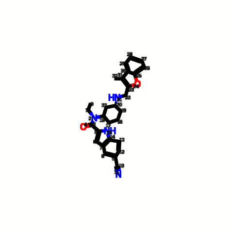 CCN(C(=O)c1cc2cc(C#N)ccc2[nH]1)C1CCC[C@@H](NCc2oc3ccccc3c2C)C1